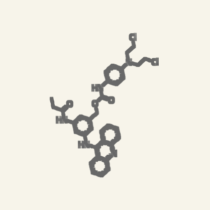 CCC(=O)Nc1cc(COC(=O)Nc2ccc(N(CCCl)CCCl)cc2)cc(Nc2c3ccccc3nc3ccccc23)c1